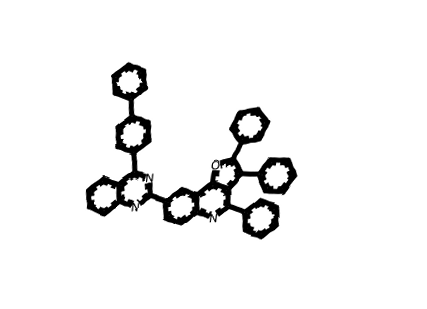 c1ccc(-c2ccc(-c3nc(-c4ccc5nc(-c6ccccc6)c6c(-c7ccccc7)c(-c7ccccc7)oc6c5c4)nc4ccccc34)cc2)cc1